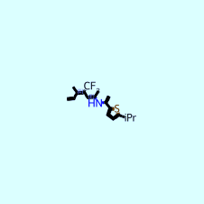 C=C/C(C)=C(\C=C(/C)NC(=C)c1ccc(C(C)C)s1)C(F)(F)F